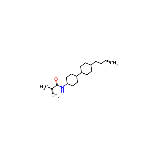 C=CCCC1CCC(C2CCC(NC(=O)C(=C)C)CC2)CC1